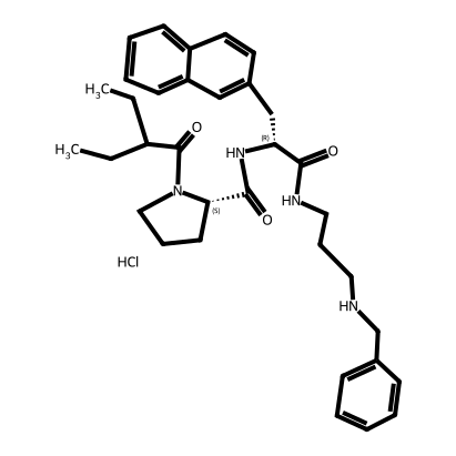 CCC(CC)C(=O)N1CCC[C@H]1C(=O)N[C@H](Cc1ccc2ccccc2c1)C(=O)NCCCNCc1ccccc1.Cl